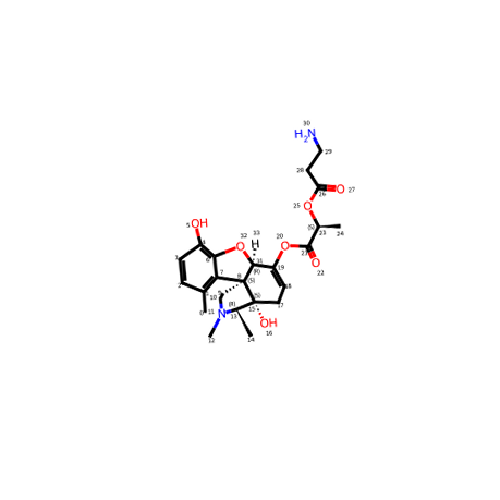 Cc1ccc(O)c2c1[C@]13CCN(C)[C@H](C)[C@]1(O)CC=C(OC(=O)[C@H](C)OC(=O)CCN)[C@@H]3O2